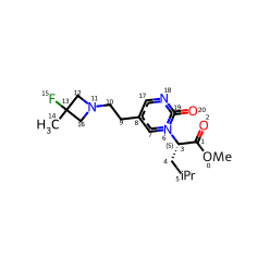 COC(=O)[C@H](CC(C)C)n1cc(CCN2CC(C)(F)C2)cnc1=O